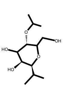 CC(C)O[C@@H]1C(CO)O[C@@H](C(C)C)[C@@H](O)C1O